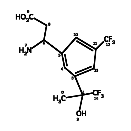 CC(O)(c1cc(C(N)CC(=O)O)cc(C(F)(F)F)c1)C(F)(F)F